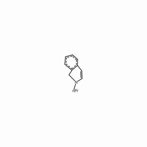 CCCN1C=Cc2ccccc2C1